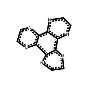 c1cnc2c(n1)c1nccnc1c1nccnc21